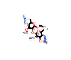 CCCCOC1[C@H](N=[N+]=[N-])C(C)OC(OCC(F)(F)F)[C@@H]1O[C@H]1OC(C)[C@@H](N=[N+]=[N-])C(OCCCC)[C@H]1OC(C)=O